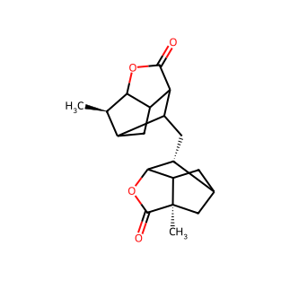 C[C@@H]1C2CC3C(C(=O)OC31)C2C[C@@H]1C2CC3C1OC(=O)[C@]3(C)C2